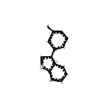 Cc1cccc(-c2coc3ccccc23)c1